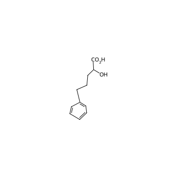 O=C(O)C(O)CCCc1ccccc1